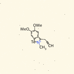 C#CCc1c2cc(OC)c(OC)cc2[te][n+]1C